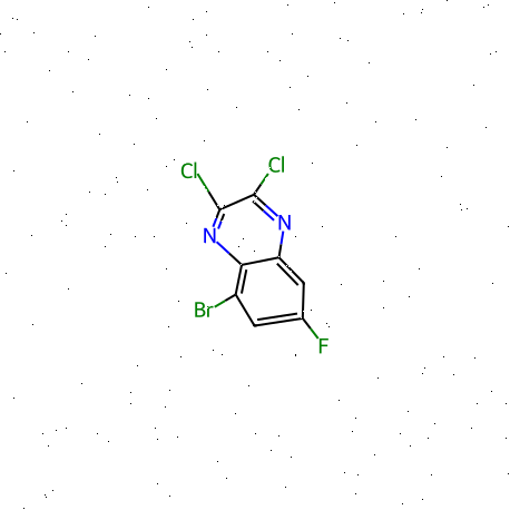 Fc1cc(Br)c2nc(Cl)c(Cl)nc2c1